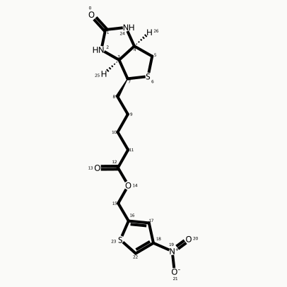 O=C1N[C@H]2[C@H](CS[C@H]2CCCCC(=O)OCc2cc([N+](=O)[O-])cs2)N1